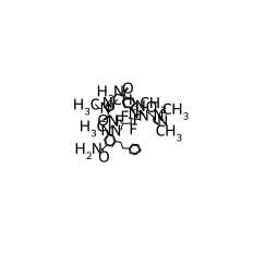 CCn1nc(C)cc1C(=O)/N=c1\n(C)c2cc(C(N)=O)cc(CCc3ccccc3)c2n1CC(F)C(F)C(F)(F)n1/c(=N/C(=O)c2cc(C)nn2CC)n(C)c2cc(C(N)=O)ccc21